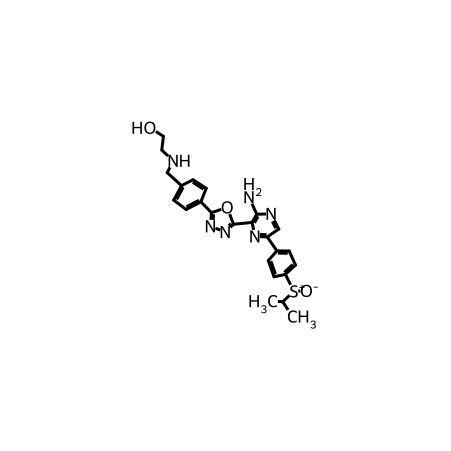 CC(C)[S+]([O-])c1ccc(-c2cnc(N)c(-c3nnc(-c4ccc(CNCCO)cc4)o3)n2)cc1